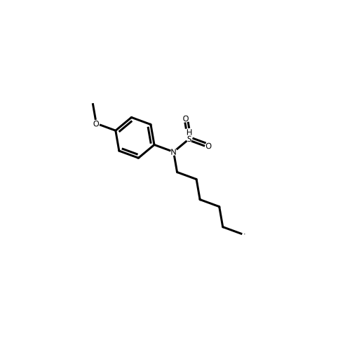 [CH2]CCCCCN(c1ccc(OC)cc1)[SH](=O)=O